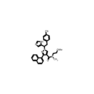 COCCN(C)C(=O)c1cn(C(Cc2ccc(C#N)cc2)c2cnc[nH]2)nc1-c1cccc2ccccc12